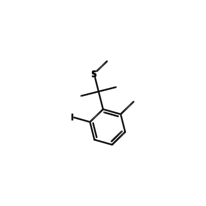 CSC(C)(C)c1c(C)cccc1I